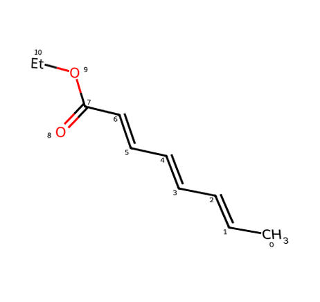 C/C=C/C=CC=CC(=O)OCC